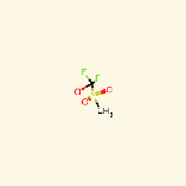 CS(=O)(=O)C([O])(F)F